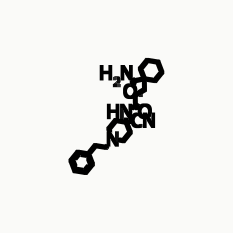 N#CC1(NC(=O)[CH]CC2(C(N)=O)CCCCC2)CCN(CCc2ccccc2)CC1